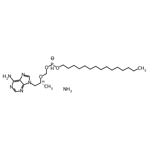 CCCCCCCCCCCCCCCO[PH](=O)OCO[C@H](C)Cn1cnc2c(N)ncnc21.N